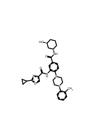 Cc1ccccc1N1CCN(c2ccc(C(=O)N[C@@H]3CCC[C@H](O)C3)cc2NC(=O)c2coc(C3CC3)n2)CC1